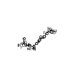 CC1(NC(=O)Cc2ccccc2)CCN(c2ccc(-c3cc(-c4ccc(N5CCN(C(=O)CN6CCC(c7ccc(NC8CCC(=O)NC8=O)cc7F)CC6)CC5)cc4)cn4ncc(C#N)c34)cn2)CC1